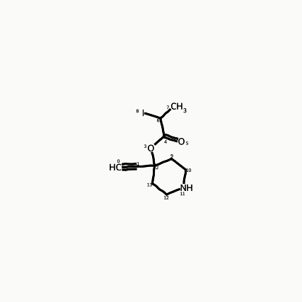 C#CC1(OC(=O)C(C)I)CCNCC1